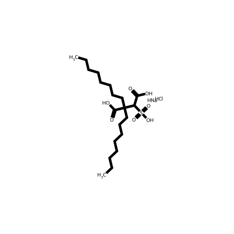 CCCCCCCCC(CCCCCCCC)(C(=O)O)C(C(=O)O)S(=O)(=O)O.Cl.[NaH]